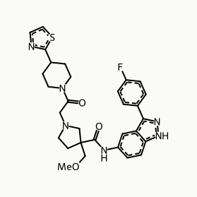 COCC1(C(=O)Nc2ccc3[nH]nc(-c4ccc(F)cc4)c3c2)CCN(CC(=O)N2CCC(c3nccs3)CC2)C1